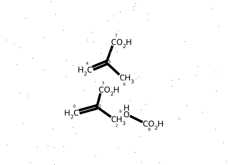 C=C(C)C(=O)O.C=C(C)C(=O)O.O=C(O)O